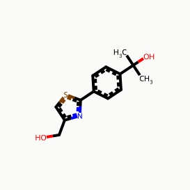 CC(C)(O)c1ccc(-c2nc(CO)cs2)cc1